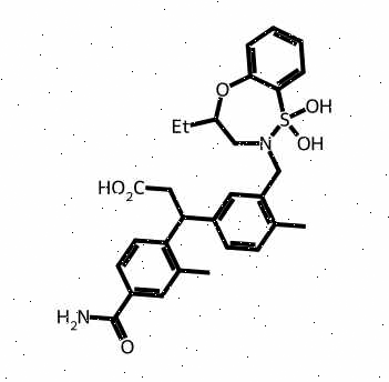 CCC1CN(Cc2cc(C(CC(=O)O)c3ccc(C(N)=O)cc3C)ccc2C)S(O)(O)c2ccccc2O1